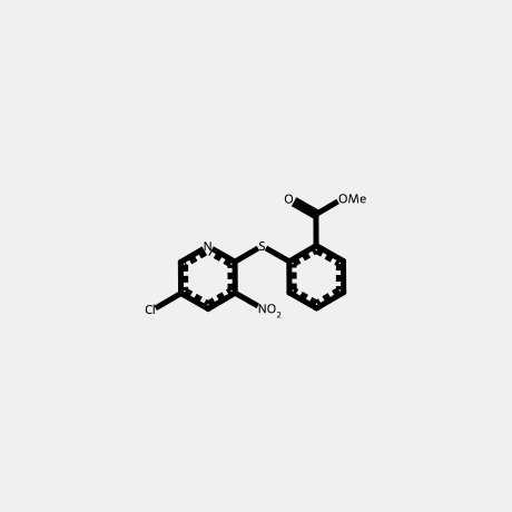 COC(=O)c1ccccc1Sc1ncc(Cl)cc1[N+](=O)[O-]